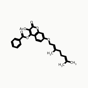 CC(=O)Oc1c(OC(=O)c2ccccc2)c2ccc(OC/C=C(\C)CCC=C(C)C)cc2oc1=O